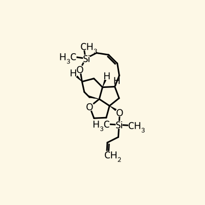 C=CC[Si](C)(C)O[C@@]12CCO[C@@]13CC[C@H]1C[C@@H]3[C@H](C/C=C\C[Si](C)(C)O1)C2